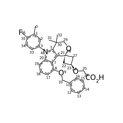 Cc1cc(-n2c3c(c4c(OCc5ccccc5)cccc42)[C@]2(C[C@H](OCC(=O)O)C2)OCC3(C)C)ccc1F